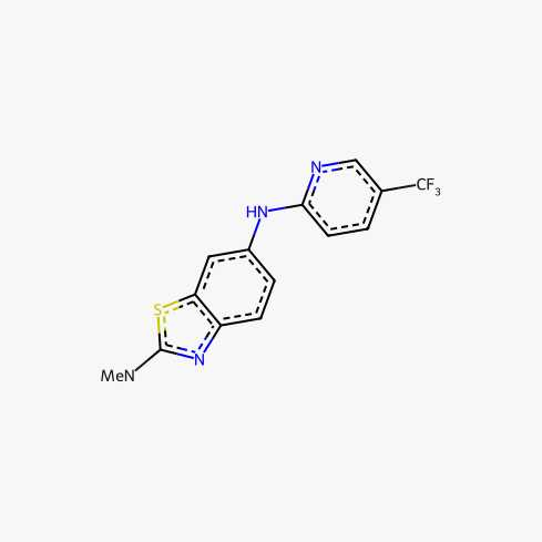 CNc1nc2ccc(Nc3ccc(C(F)(F)F)cn3)cc2s1